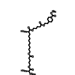 CCCCCCCCCC(CCCCCC)C(=O)OCCCCC(=O)OCCCCCCCCCC(CCCCCC)C(=O)OCCCCC(=O)OCCC1CCN(C(=O)OC(C)(C)C)CC1